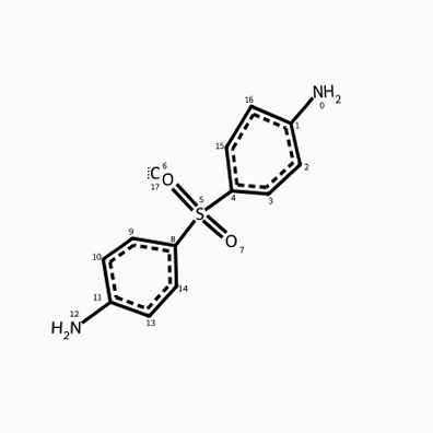 Nc1ccc(S(=O)(=O)c2ccc(N)cc2)cc1.[C]